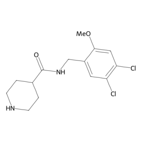 COc1cc(Cl)c(Cl)cc1CNC(=O)C1CCNCC1